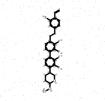 C=Cc1ccc(CCc2ccc(-c3ccc(C4CCC(OCC)OC4)c(F)c3F)c(F)c2F)cc1F